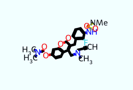 C#CCN(C)Cc1c(Cc2cccc(NS(=O)(=O)NC)c2F)c(=O)oc2cc(OC(=O)N(C)C)ccc12